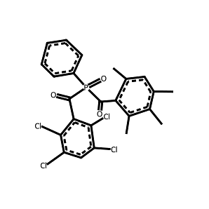 Cc1cc(C)c(C(=O)P(=O)(C(=O)c2c(Cl)c(Cl)cc(Cl)c2Cl)c2ccccc2)c(C)c1C